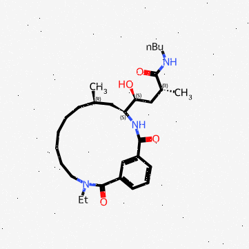 CCCCNC(=O)[C@H](C)C[C@H](O)[C@@H]1C[C@H](C)CCCCCCN(CC)C(=O)c2cccc(c2)C(=O)N1